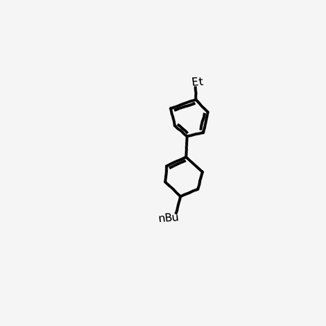 CCCCC1CC=C(c2ccc(CC)cc2)CC1